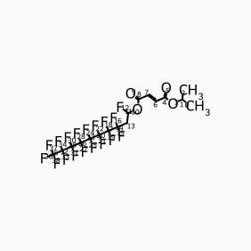 CC(C)OC(=O)/C=C/C(=O)OC(F)CC(F)(F)C(F)(F)C(F)(F)C(F)(F)C(F)(F)C(F)(F)C(F)(F)C(F)(F)F